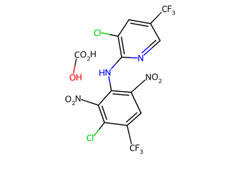 O=C(O)O.O=[N+]([O-])c1cc(C(F)(F)F)c(Cl)c([N+](=O)[O-])c1Nc1ncc(C(F)(F)F)cc1Cl